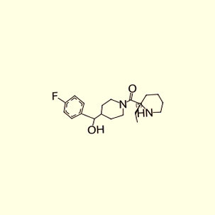 CC[C@@]1(C(=O)N2CCC(C(O)c3ccc(F)cc3)CC2)CCCCN1